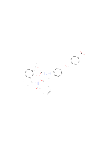 COC(=O)c1ccc(COc2ccc(CC(NC(=O)OC(C)(C)C)C(=O)[C@@H]3CC=CCC3C(=O)NC3CCCc4ccccc43)cc2)cc1